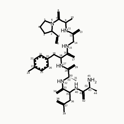 C=CC1CCCN1C(=C)C(C)NC(=C)CNC(=C)C(Cc1ccc(C)cc1)NC(=C)[C@H](C)NC(=C)C(CC(=C)C)NC(=C)[C@H](C)N